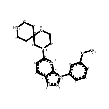 FC(F)(F)Oc1cccc(-n2nnc3ccc(N4CCOC5(CCNCC5)C4)nc32)c1